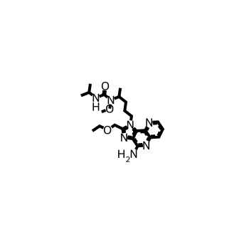 CCOCc1nc2c(N)nc3cccnc3c2n1CCCC(C)N(OC)C(=O)NC(C)C